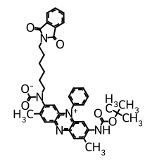 Cc1cc2nc3cc(C)c(N(CCCCCCN4C(=O)c5ccccc5C4=O)C(=O)[O-])cc3[n+](-c3ccccc3)c2cc1NC(=O)OC(C)(C)C